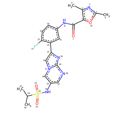 Cc1nc(C)c(C(=O)Nc2ccc(F)c(-c3cn4cc(NS(=O)(=O)C(C)C)cnc4n3)c2)o1